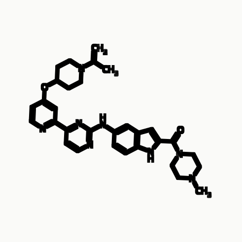 C=C(C)N1CCC(Oc2ccnc(-c3ccnc(Nc4ccc5[nH]c(C(=O)N6CCN(C)CC6)cc5c4)n3)c2)CC1